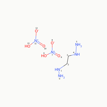 NNCCNN.O=[N+]([O-])O.O=[N+]([O-])O